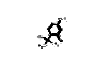 CC(C)(C)c1ccc(N)cc1Br